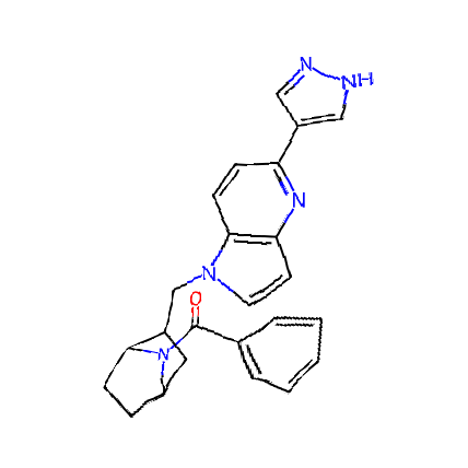 O=C(c1ccccc1)N1C2CCC1C(Cn1ccc3nc(-c4cn[nH]c4)ccc31)C2